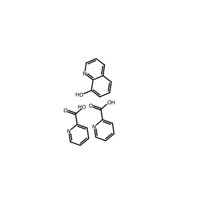 O=C(O)c1ccccn1.O=C(O)c1ccccn1.Oc1cccc2cccnc12